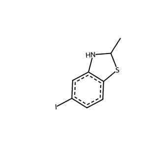 CC1Nc2cc(I)ccc2S1